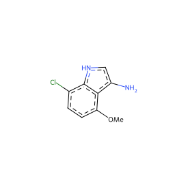 COc1ccc(Cl)c2[nH]cc(N)c12